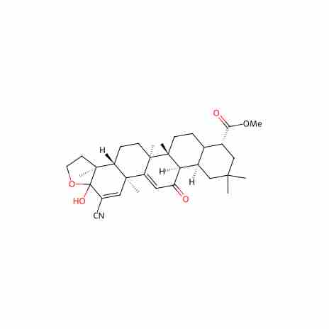 COC(=O)[C@@H]1CC(C)(C)C[C@@H]2C1CC[C@]1(C)[C@@H]2C(=O)C=C2[C@@]3(C)C=C(C#N)C4(O)OCC[C@@]4(C)[C@@H]3CC[C@]21C